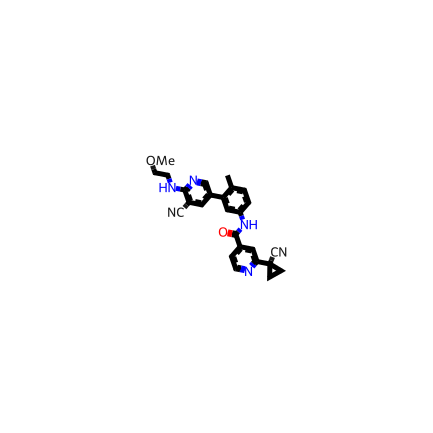 COCCNc1ncc(-c2cc(NC(=O)c3ccnc(C4(C#N)CC4)c3)ccc2C)cc1C#N